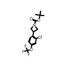 CC(C)(C)OC(=O)N1CC(c2ccc(OC(F)(F)F)cc2Cl)C1